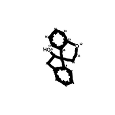 OC1Cc2ccccc2C12CCOc1ccccc12